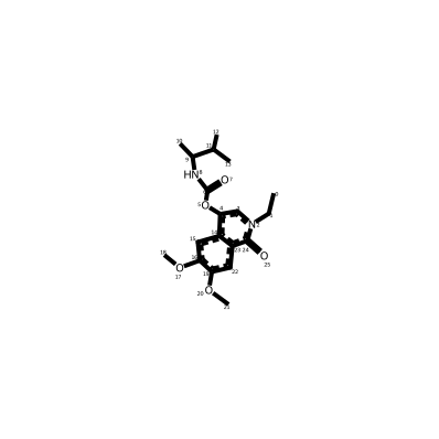 CCn1cc(OC(=O)NC(C)C(C)C)c2cc(OC)c(OC)cc2c1=O